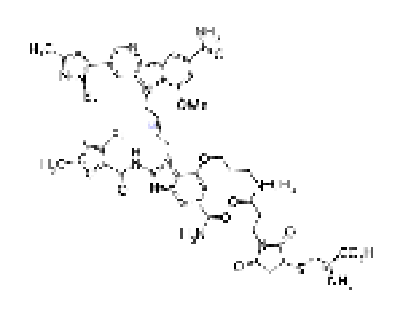 CCc1nc(C)oc1C(=O)Nc1nc2cc(C(N)=O)cc(OCCCN(C)C(=O)CCN3C(=O)CC(SC[C@H](N)C(=O)O)C3=O)c2n1C/C=C/Cn1c2cc(-c3cc(C)nn3CC)cnc2c2cc(C(N)=O)cc(OC)c21